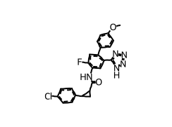 COc1ccc(-c2cc(F)c(NC(=O)C3CC3c3ccc(Cl)cc3)cc2-c2nnn[nH]2)cc1